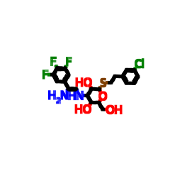 N/C(=C\NC1C(O)C(CO)OC(SCCc2cccc(Cl)c2)C1O)c1cc(F)c(F)c(F)c1